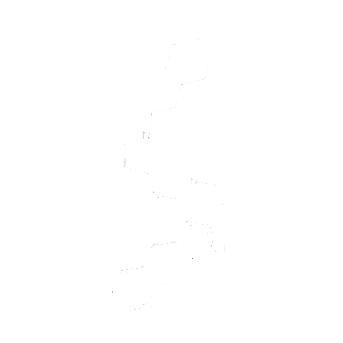 O=C(c1ccccc1)c1c[nH]c2ncnc(NC3CCN(C(=O)CC4CCOCC4)C3)c12